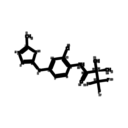 Cc1nnc(Sc2ccc(NC(=O)[C@@](C)(O)C(F)(F)F)c(Cl)c2)s1